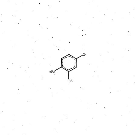 CCCCc1ccc([O])cc1CCCC